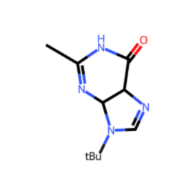 CC1=NC2C(N=CN2C(C)(C)C)C(=O)N1